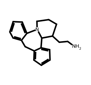 NCCC1CCCN2c3ccccc3Cc3ccccc3C12